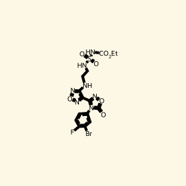 CCOC(=O)NS(=O)(=O)NCCNc1nonc1-c1noc(=O)n1-c1ccc(F)c(Br)c1